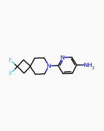 Nc1ccc(N2CCC3(CC2)CC(F)(F)C3)nc1